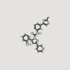 Cc1nc(-c2cccc(NC(=O)N3N=C(c4cccnc4)CC3c3ccccc3O)c2)cs1